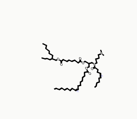 CCCCC/C=C\CCC(=O)N(CCCCN(C)C)CC(COC(=O)CCCCCCC/C=C\CCCCCCCC)COC(=O)CCCCCCC(=O)OCC(CCCC)CCCCCC